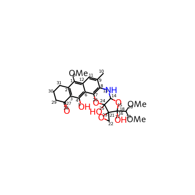 COc1c2c(c(O)c3c4c(c(C)cc13)NC1OC(O)(C(OC)OC)C3(CO3)C1(O)O4)C(=O)CCC2